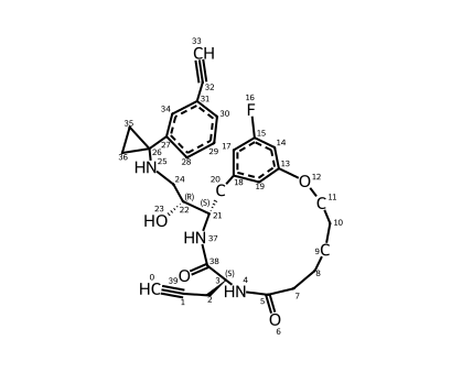 C#CC[C@@H]1NC(=O)CCCCCOc2cc(F)cc(c2)C[C@@H]([C@H](O)CNC2(c3cccc(C#C)c3)CC2)NC1=O